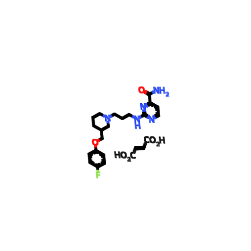 NC(=O)c1ccnc(NCCCN2CCCC(COc3ccc(F)cc3)C2)n1.O=C(O)C=CC(=O)O